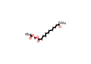 COC(=O)CCCCCCCCCCC(=O)OCOC(=O)C(C)(C)C